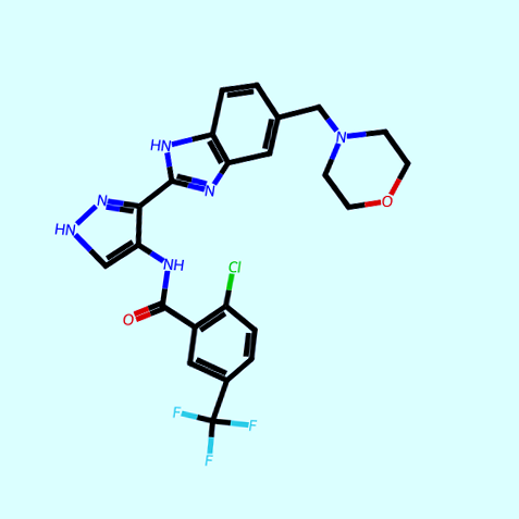 O=C(Nc1c[nH]nc1-c1nc2cc(CN3CCOCC3)ccc2[nH]1)c1cc(C(F)(F)F)ccc1Cl